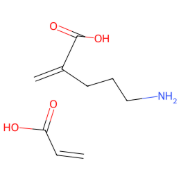 C=C(CCCN)C(=O)O.C=CC(=O)O